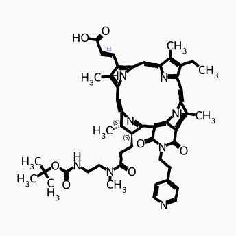 CCC1=C(C)c2cc3[nH]c(cc4nc(c5c6[nH]c(cc1n2)c(C)c6C(=O)N(CCc1ccncc1)C5=O)[C@@H](CCC(=O)N(C)CCNC(=O)OC(C)(C)C)[C@@H]4C)c(C)c3/C=C/C(=O)O